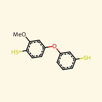 COc1cc(Oc2cccc(S)c2)ccc1S